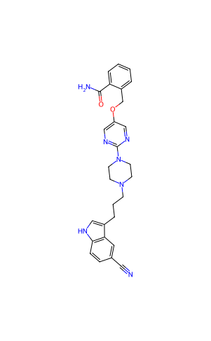 N#Cc1ccc2[nH]cc(CCCN3CCN(c4ncc(OCc5ccccc5C(N)=O)cn4)CC3)c2c1